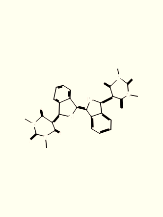 CN1C(=O)C(=c2[nH]c(=c3[nH]c(=C4C(=O)N(C)C(=O)N(C)C4=O)c4ccccc34)c3ccccc23)C(=O)N(C)C1=O